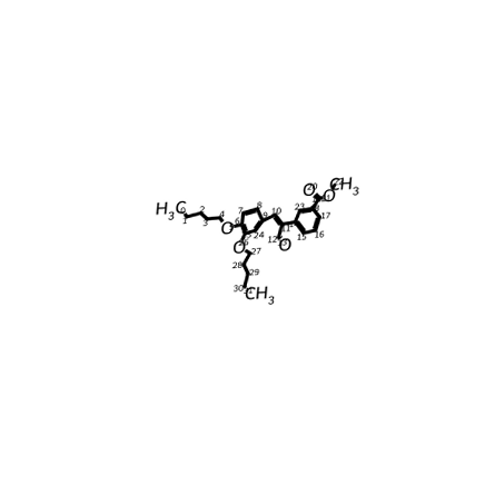 CCCCCOc1ccc(C=C(C=O)c2cccc(C(=O)OC)c2)cc1OCCCCC